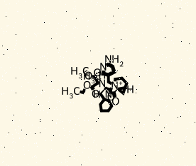 CCOC(=O)C(N[C@H](CC1CCCCC1)C(=O)[N+]1(Cc2ccc(N)nc2C)CCC[C@@H]2C[C@@]21C(N)=O)C(=O)OC